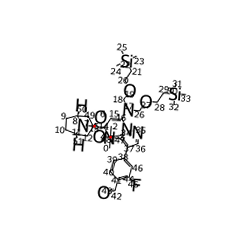 CC(C)(C)OC(=O)N1[C@@H]2CC[C@H]1C[C@H](c1cc(N(COCC[Si](C)(C)C)COCC[Si](C)(C)C)n3ncc(-c4ccc(C=O)c(F)c4)c3n1)C2